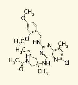 CCCCC(C)(CNC(C)=O)Nc1nc(NCc2ccc(OC)cc2OC)nc2c(C)cc(Cl)nc12